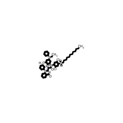 CCCCCCCCCCCCS(=O)(=O)c1cc(Cl)c(NC(=O)/C(=N\c2ccc(N(CC)c3ccccc3)cc2C)c2nc(=O)c3ccccc3n2-c2ccccc2)cc1Cl